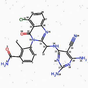 Cc1c(C(N)=O)cccc1-n1c(C(C)Nc2nc(N)nc(N)c2C#N)nc2cccc(Cl)c2c1=O